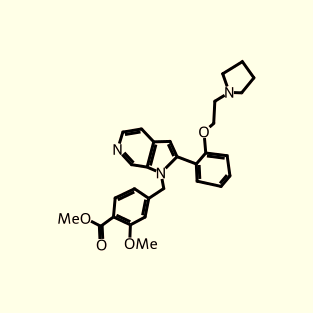 COC(=O)c1ccc(Cn2c(-c3ccccc3OCCN3CCCC3)cc3ccncc32)cc1OC